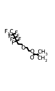 C=C(C)C(=O)OCCOCCC(F)(F)C(F)(F)C(F)(F)C(F)(F)F